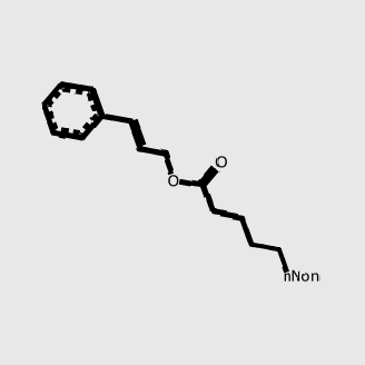 CCCCCCCCCCCCCC(=O)OCC=Cc1ccccc1